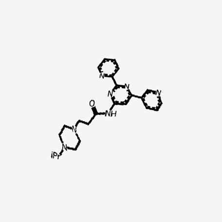 CC(C)N1CCN(CCC(=O)Nc2cc(-c3cccnc3)nc(-c3ccccn3)n2)CC1